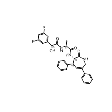 C[C@H](NC(=O)[C@H](O)c1cc(F)cc(F)c1)C(=O)N[C@@H]1C(=O)NCC(c2ccccc2)=C[C@H]1c1ccccc1